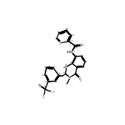 CN1C(=O)c2cccc(NC(=O)c3ccccn3)c2NC1c1cccc(C(F)(F)F)c1